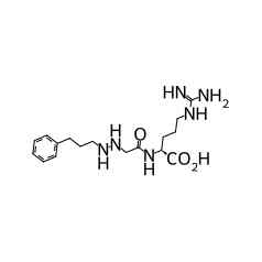 N=C(N)NCCC[C@H](NC(=O)CNNCCCc1ccccc1)C(=O)O